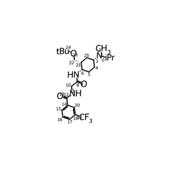 CC(C)N(C)[C@@H]1CC[C@H](NC(=O)CNC(=O)c2cccc(C(F)(F)F)c2)[C@H](COC(C)(C)C)C1